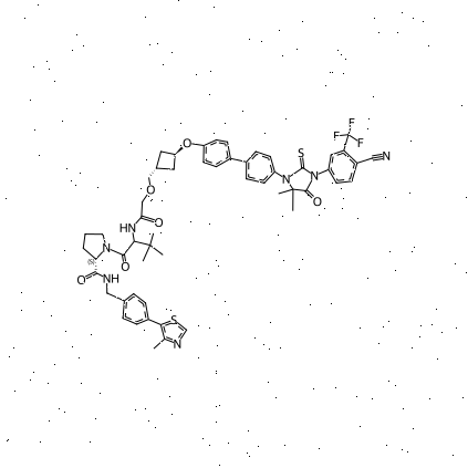 Cc1ncsc1-c1ccc(CNC(=O)[C@@H]2CCCN2C(=O)C(NC(=O)COC[C@H]2C[C@H](Oc3ccc(-c4ccc(N5C(=S)N(c6ccc(C#N)c(C(F)(F)F)c6)C(=O)C5(C)C)cc4)cc3)C2)C(C)(C)C)cc1